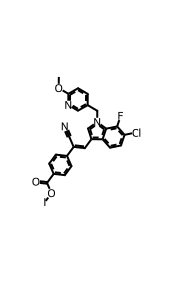 COc1ccc(Cn2cc(/C=C(\C#N)c3ccc(C(=O)OI)cc3)c3ccc(Cl)c(F)c32)cn1